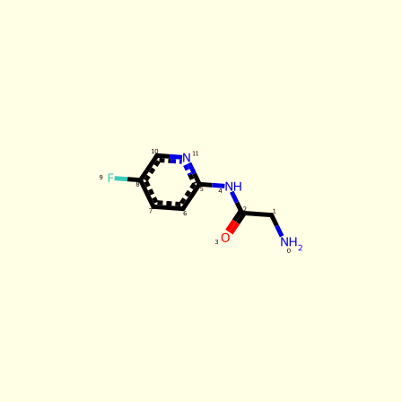 NCC(=O)Nc1ccc(F)cn1